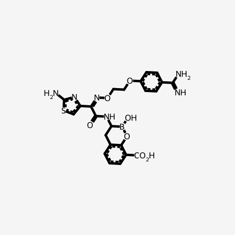 N=C(N)c1ccc(OCCON=C(C(=O)NC2Cc3cccc(C(=O)O)c3OB2O)c2csc(N)n2)cc1